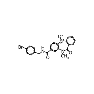 CN1C(=O)c2ccccc2[S@@+]([O-])c2ccc(C(=O)NCc3ccc(Br)cc3)cc21